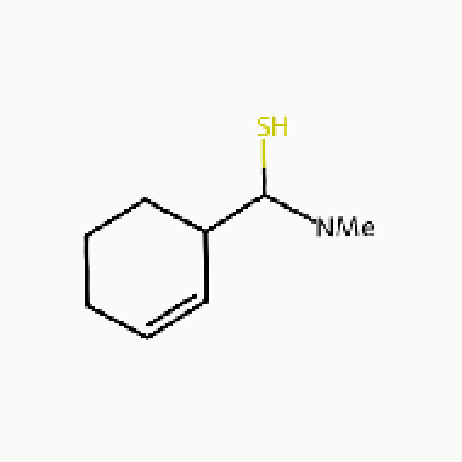 CNC(S)C1C=CCCC1